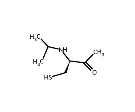 CC(=O)[C@@H](CS)NC(C)C